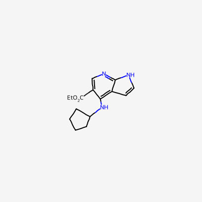 CCOC(=O)c1cnc2[nH]ccc2c1NC1CCCC1